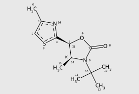 Cc1csc([C@H]2OC(=O)N(C(C)(C)C)[C@H]2C)n1